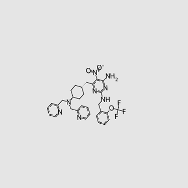 Nc1nc(NCc2ccccc2OC(F)(F)F)nc(C[C@H]2CC[C@H](N(Cc3ccccn3)Cc3ccccn3)CC2)c1[N+](=O)[O-]